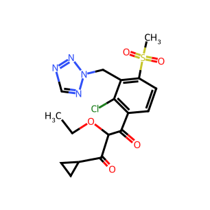 CCOC(C(=O)c1ccc(S(C)(=O)=O)c(Cn2ncnn2)c1Cl)C(=O)C1CC1